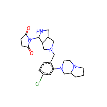 O=C1CCC(=O)N1C1NCC2CN(Cc3ccc(Cl)cc3N3CCN4CCCC4C3)CC21